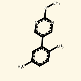 COc1n[c]c(-c2cc(C)ccc2C)cn1